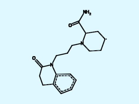 NC(=O)C1C[CH]CCN1CCCN1C(=O)CCc2ccccc21